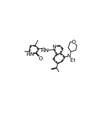 C=C(C)c1cc(N(CC)C2CCOCC2)c2ccnc(NCc3c(C)cc(C)[nH]c3=O)c2c1